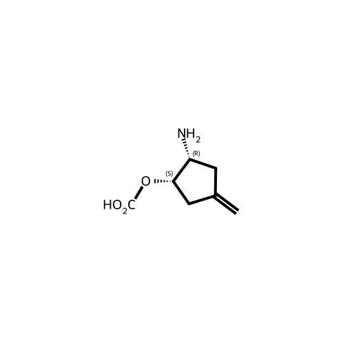 C=C1C[C@@H](N)[C@@H](OC(=O)O)C1